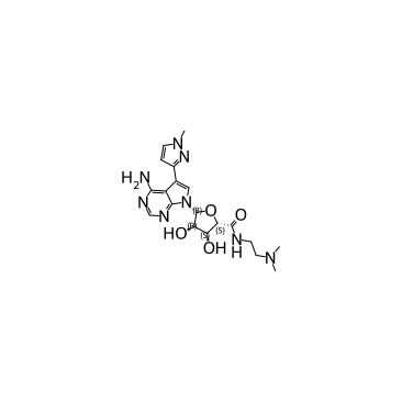 CN(C)CCNC(=O)[C@H]1O[C@@H](n2cc(-c3ccn(C)n3)c3c(N)ncnc32)[C@H](O)[C@@H]1O